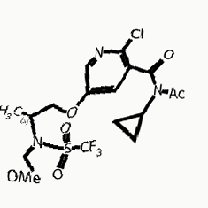 COCN([C@@H](C)COc1cnc(Cl)c(C(=O)N(C(C)=O)C2CC2)c1)S(=O)(=O)C(F)(F)F